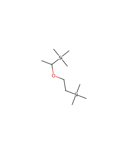 C[C](OCC[Si](C)(C)C)[Si](C)(C)C